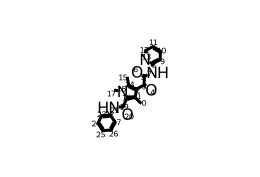 Cc1c(C(=O)C(=O)Nc2ccccn2)c(C)n(C)c1C(=O)Nc1ccccc1